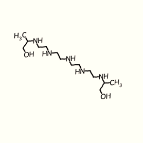 CC(CO)NCCNCCNCCNCCNC(C)CO